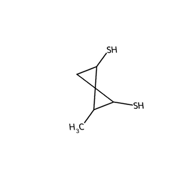 CC1C(S)C12CC2S